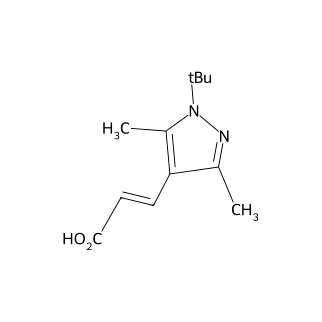 Cc1nn(C(C)(C)C)c(C)c1C=CC(=O)O